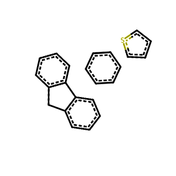 c1ccc2c(c1)Cc1ccccc1-2.c1ccccc1.c1ccsc1